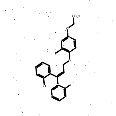 O=C(O)COc1ccc(SCC=C(c2ccccc2Cl)c2ccccc2Cl)c(I)c1